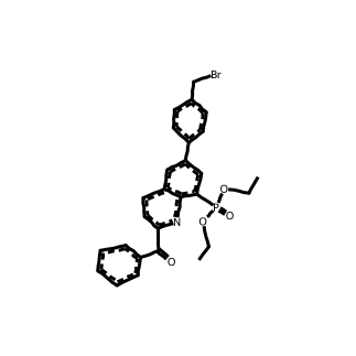 CCOP(=O)(OCC)c1cc(-c2ccc(CBr)cc2)cc2ccc(C(=O)c3ccccc3)nc12